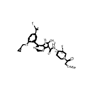 COCC(=O)N1CC[C@H](NC(=O)c2c(C)[nH]c3c(-c4cc(C(F)F)ccc4OCC4CC4)ncnc23)[C@@H](F)C1